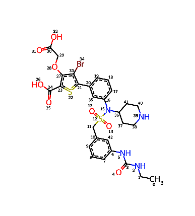 CCNC(=O)Nc1cccc(CS(=O)(=O)N(c2cccc(-c3sc(C(=O)O)c(OCC(=O)O)c3Br)c2)C2CCNCC2)c1